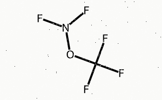 FN(F)OC(F)(F)F